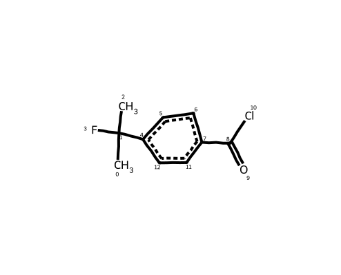 CC(C)(F)c1ccc(C(=O)Cl)cc1